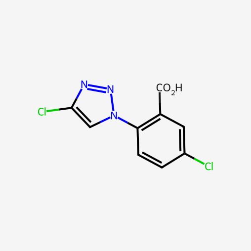 O=C(O)c1cc(Cl)ccc1-n1cc(Cl)nn1